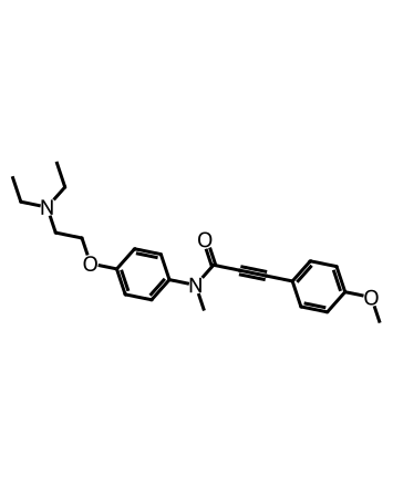 CCN(CC)CCOc1ccc(N(C)C(=O)C#Cc2ccc(OC)cc2)cc1